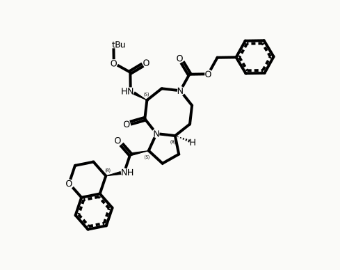 CC(C)(C)OC(=O)N[C@H]1CN(C(=O)OCc2ccccc2)CC[C@H]2CC[C@@H](C(=O)N[C@@H]3CCOc4ccccc43)N2C1=O